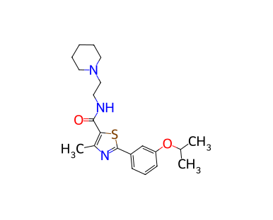 Cc1nc(-c2cccc(OC(C)C)c2)sc1C(=O)NCCN1CCCCC1